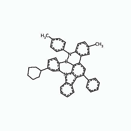 Cc1ccc(N2B3c4ccc(C5CCCCC5)cc4-n4c5ccccc5c5c(-c6ccccc6)cc(c3c54)-c3cc(C)ccc32)cc1